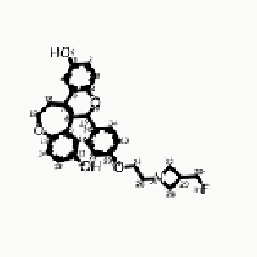 Oc1ccc2c(c1)C1=C(c3cc(O)ccc3OCC1)C(c1ccc(OCCN3CC(CF)C3)cc1)O2